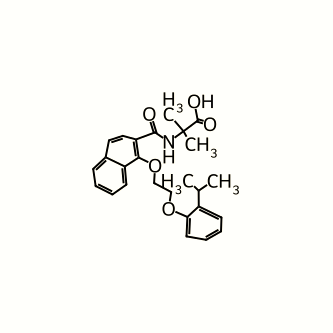 CC(C)c1ccccc1OCCOc1c(C(=O)NC(C)(C)C(=O)O)ccc2ccccc12